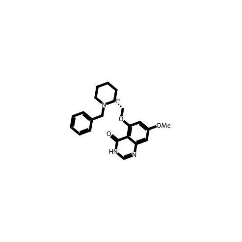 COc1cc(OC[C@H]2CCCCN2Cc2ccccc2)c2c(=O)[nH]cnc2c1